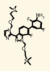 C[Si](C)(C)CCOCn1ccnc1-c1nn(COCC[Si](C)(C)C)c2c(F)c(-c3cc(F)cc(N)c3F)ccc12